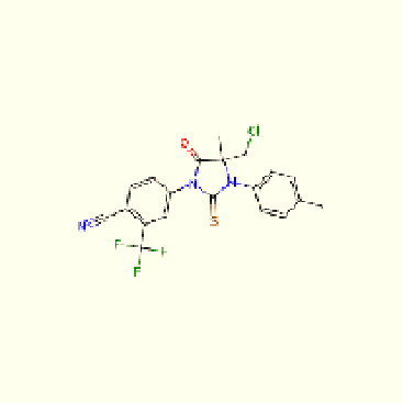 Cc1ccc(N2C(=S)N(c3ccc(C#N)c(C(F)(F)F)c3)C(=O)C2(C)CCl)cc1